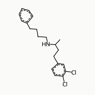 CC(CCc1ccc(Cl)c(Cl)c1)NCCCCc1ccccc1